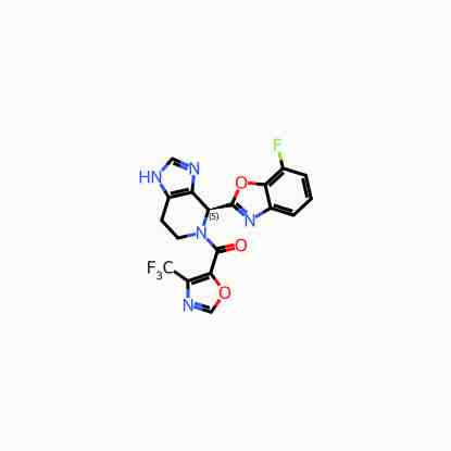 O=C(c1ocnc1C(F)(F)F)N1CCc2[nH]cnc2[C@H]1c1nc2cccc(F)c2o1